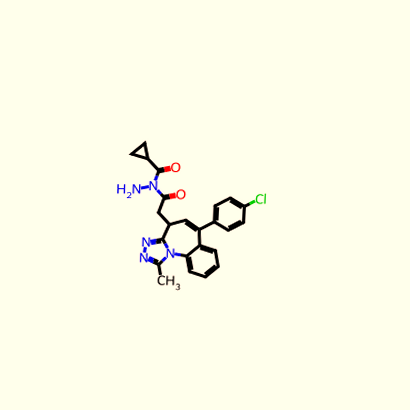 Cc1nnc2n1-c1ccccc1C(c1ccc(Cl)cc1)=CC2CC(=O)N(N)C(=O)C1CC1